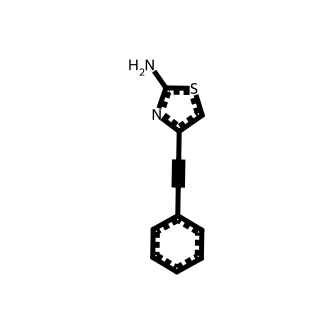 Nc1nc(C#Cc2ccccc2)cs1